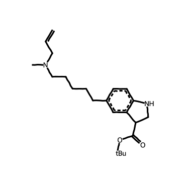 C=CCN(C)CCCCCc1ccc2c(c1)C(C(=O)OC(C)(C)C)CN2